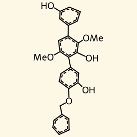 COc1cc(-c2cccc(O)c2)c(OC)c(O)c1-c1ccc(OCc2ccccc2)c(O)c1